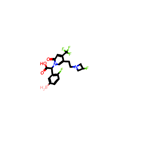 Bc1ccc(F)c(C(C(=O)O)n2cc(CCN3CC(F)C3)c(C(F)(F)F)cc2=O)c1